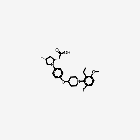 CCc1c(OC)ccc(F)c1N1CCC(Oc2ccc(N3C[C@H](C)C[C@@H]3CC(=O)O)cc2)CC1